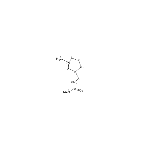 CNC(=O)NCC1CN(C)CCO1